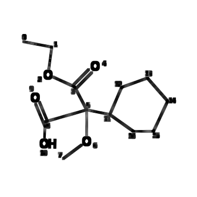 CCOC(=O)C(OC)(C(=O)O)C1CCCCC1